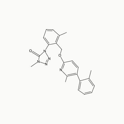 Cc1ccccc1-c1ccc(OCc2c(C)cccc2-n2nnn(C)c2=O)nc1C